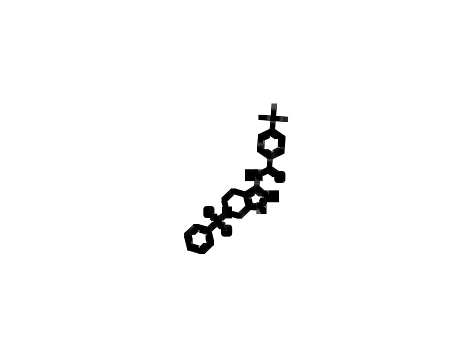 CC(C)(C)c1ccc(C(=O)Nc2[nH]nc3c2CCN(S(=O)(=O)c2ccccc2)C3)cc1